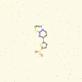 CCCCCSc1nccc(-c2ccc([SH](=O)=O)s2)n1